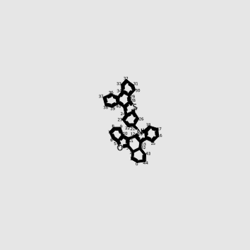 C1=CC2c3oc4ccccc4c3-c3c(c4ccccc4n3-c3ccc4c(c3)sc3c5ccccc5c5ccccc5c43)C2C=C1